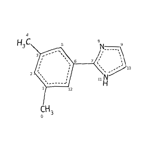 Cc1[c]c(C)cc(-c2ncc[nH]2)c1